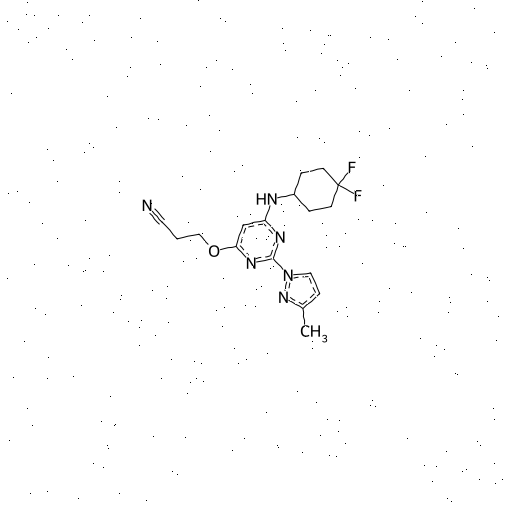 Cc1ccn(-c2nc(NC3CCC(F)(F)CC3)cc(OCCC#N)n2)n1